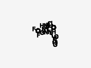 O=C(CCCNc1nc(Oc2ccc(F)cc2F)nc2[nH]nc(-c3ccccc3Cl)c12)N1CCOCC1